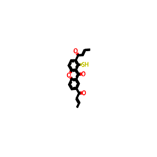 CC=CC(=O)c1ccc2oc3ccc(C(=O)C=CC)c(S)c3c(=O)c2c1